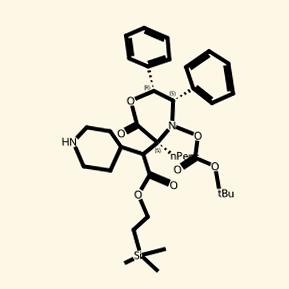 CCCCC[C@]1(C(C(=O)OCC[Si](C)(C)C)C2CCNCC2)C(=O)O[C@H](c2ccccc2)[C@H](c2ccccc2)N1OC(=O)OC(C)(C)C